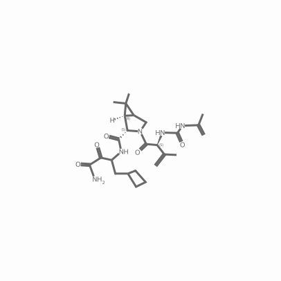 C=C(C)NC(=O)N[C@@H](C(=C)C)C(=O)N1CC2[C@@H]([C@H]1C(=O)NC(CC1CCC1)C(=O)C(N)=O)C2(C)C